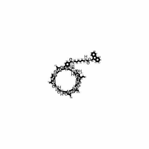 C/C=C/C[C@@H](C)[C@@H](O)[C@H]1C(=O)N[C@@H](CC)C(=O)N(C)C(Cc2ccc(C(=O)NCCCCCCNC(=O)OCC3c4ccccc4-c4ccccc43)cc2)C(=O)N(C)[C@@H](CC(C)C)C(=O)N[C@@H](C(C)C)C(=O)N(C)[C@@H](CC(C)C)C(=O)N[C@@H](C)C(=O)N[C@H](C)C(=O)N(C)[C@@H](CC(C)C)C(=O)N(C)[C@@H](CC(C)C)C(=O)N(C)[C@@H](C(C)C)C(=O)N1C